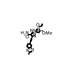 C=CC(=O)N1C[C@@H](n2nc(C#Cc3ccc4nc(C)cnc4c3)c(C(N)=O)c2NC)C[C@@H]1COC